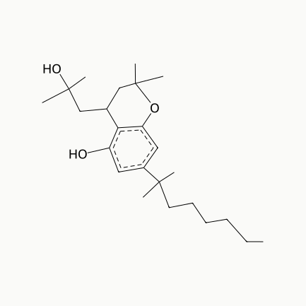 CCCCCCC(C)(C)c1cc(O)c2c(c1)OC(C)(C)CC2CC(C)(C)O